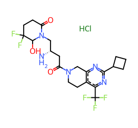 Cl.N[C@@H](CC(=O)N1CCc2c(nc(C3CCC3)nc2C(F)(F)F)C1)CN1C(=O)CCC(F)(F)C1O